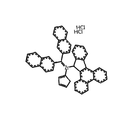 C1=CC[C]([Zr](=[C](c2ccc3ccccc3c2)c2ccc3ccccc3c2)[CH]2c3ccccc3-c3c2c2ccccc2c2ccccc32)=C1.Cl.Cl